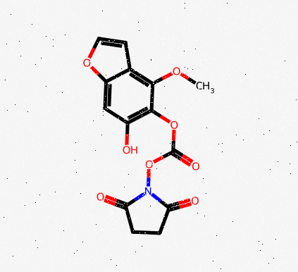 COc1c(OC(=O)ON2C(=O)CCC2=O)c(O)cc2occc12